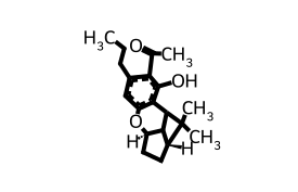 CCCc1cc2c(c(O)c1C(C)=O)C1C3[C@@H](CC[C@H]3O2)C1(C)C